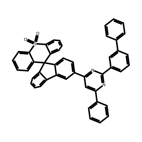 O=S1(=O)c2ccccc2C2(c3ccccc3-c3cc(-c4cc(-c5ccccc5)nc(-c5cccc(-c6ccccc6)c5)n4)ccc32)c2ccccc21